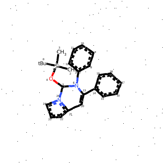 CC(C)(C)[Si](C)(C)OC1N(c2ccccc2)C(c2ccccc2)=Cc2cccn21